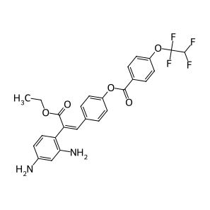 CCOC(=O)C(=Cc1ccc(OC(=O)c2ccc(OC(F)(F)C(F)F)cc2)cc1)c1ccc(N)cc1N